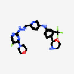 Fc1cnc(N/N=C/c2ccc(Nc3ccc(C4CNCCO4)c(C(F)(F)F)c3)cn2)nc1N1CCOCC1